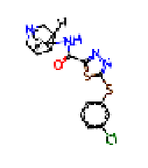 O=C(N[C@H]1CN2CCC1CC2)c1nnc(Sc2cccc(Cl)c2)s1